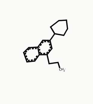 [CH2]CCc1cc(C2CCCCC2)cc2ccccc12